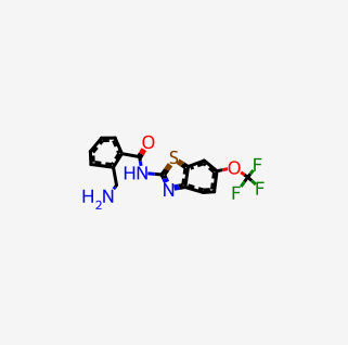 NCc1ccccc1C(=O)Nc1nc2ccc(OC(F)(F)F)cc2s1